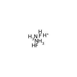 F.F.N.N.[H+]